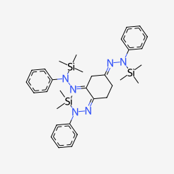 C[Si](C)(C)N(/N=C1/CC/C(=N\N(c2ccccc2)[Si](C)(C)C)C/C1=N\N(c1ccccc1)[Si](C)(C)C)c1ccccc1